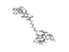 CC(C)C[C@@H](C(=O)N[C@H](C(=O)NCCOCCOCCNC(=O)c1cc(F)c(B2OC(C)(C)C(C)(C)O2)c(F)c1)C(C)(C)C)[C@H](O)C(=O)NO